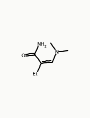 CCC(=CN(C)C)C(N)=O